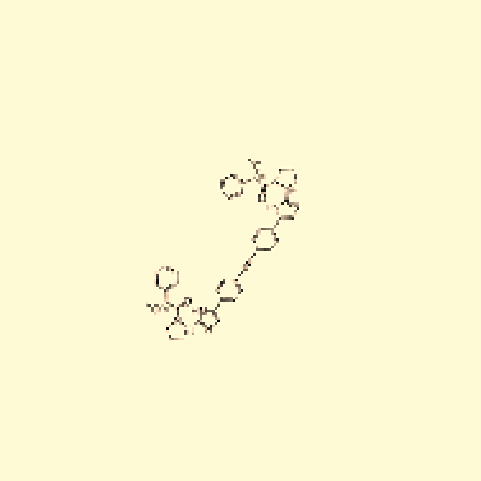 CO[C@@H](C(=O)N1CCC[C@H]1c1ncc(-c2ccc(C#Cc3ccc(-c4cnc([C@@H]5CCCN5C(=O)[C@H](OC)c5ccccc5)[nH]4)cc3)cc2)[nH]1)c1ccccc1